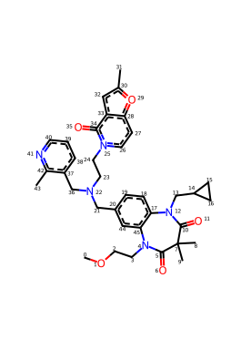 COCCN1C(=O)C(C)(C)C(=O)N(CC2CC2)c2ccc(CN(CCn3ccc4oc(C)cc4c3=O)Cc3cccnc3C)cc21